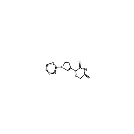 C=C1COC(C2=CN(c3ncccn3)CC2)C(=O)N1